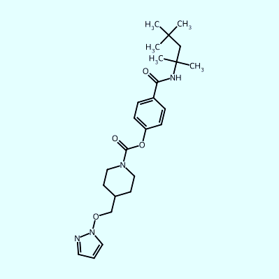 CC(C)(C)CC(C)(C)NC(=O)c1ccc(OC(=O)N2CCC(COn3cccn3)CC2)cc1